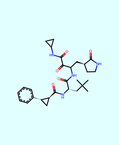 CC(C)(C)C[C@H](NC(=O)[C@H]1C[C@@H]1c1ccccc1)C(=O)NC(C[C@@H]1CCNC1=O)C(=O)C(=O)NC1CC1